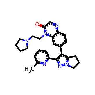 Cc1cccc(-c2nn3c(c2-c2ccc4ncc(=O)n(CCN5CCCC5)c4c2)CCC3)n1